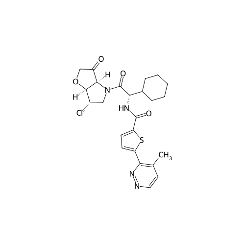 Cc1ccnnc1-c1ccc(C(=O)N[C@H](C(=O)N2C[C@H](Cl)[C@H]3OCC(=O)[C@H]32)C2CCCCC2)s1